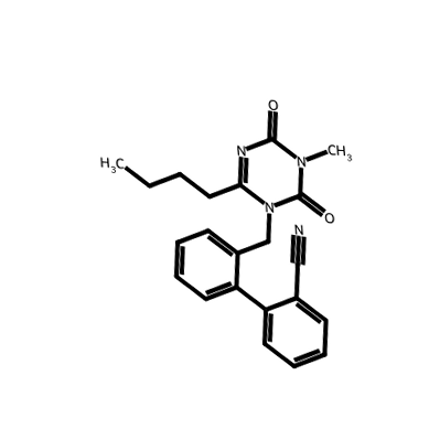 CCCCc1nc(=O)n(C)c(=O)n1Cc1ccccc1-c1ccccc1C#N